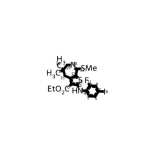 CCOC(=O)c1c(Nc2ccc(I)cc2F)sc2c1CC(C)(C)CN=C2SC